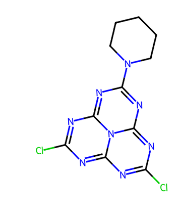 ClC1=NC2=NC(Cl)=NC3=NC(N4CCCCC4)=NC(=N1)N23